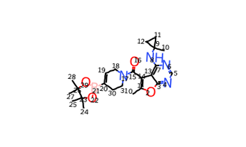 Cc1oc2ncnc(NC3(C)CC3)c2c1C(=O)N1CC=C(B2OC(C)(C)C(C)(C)O2)CC1